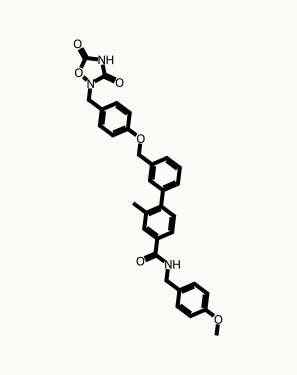 COc1ccc(CNC(=O)c2ccc(-c3cccc(COc4ccc(Cn5oc(=O)[nH]c5=O)cc4)c3)c(C)c2)cc1